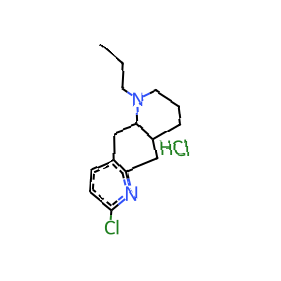 CCCN1CCCC2Cc3nc(Cl)ccc3CC21.Cl